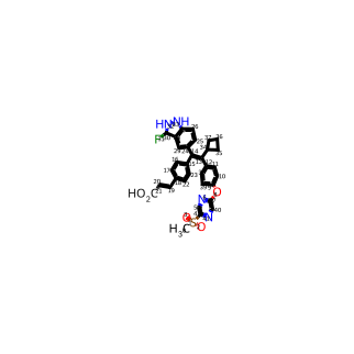 CS(=O)(=O)c1cnc(Oc2ccc(/C(=C(\c3ccc(/C=C/C(=O)O)cc3)c3ccc4c(c3)C(F)NN4)C3CCC3)cc2)cn1